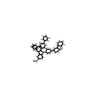 N#Cc1ccc2c(c1)c1cc(C#N)ccc1n2-c1ccc(-c2ccc3oc4ccccc4c3c2)cc1-c1nc(-c2ccccc2)nc(-c2ccccc2)n1